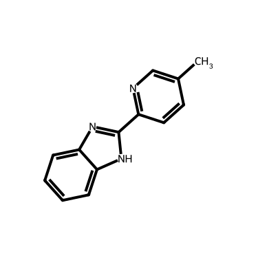 Cc1ccc(-c2nc3ccccc3[nH]2)nc1